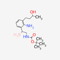 BC(CNC(=O)OC(C)(C)C)c1cccc(CCC(C)O)c1N